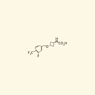 O=C(O)N[C@H]1C[C@H](OCc2ccc(C(F)(F)F)c(F)c2)C1